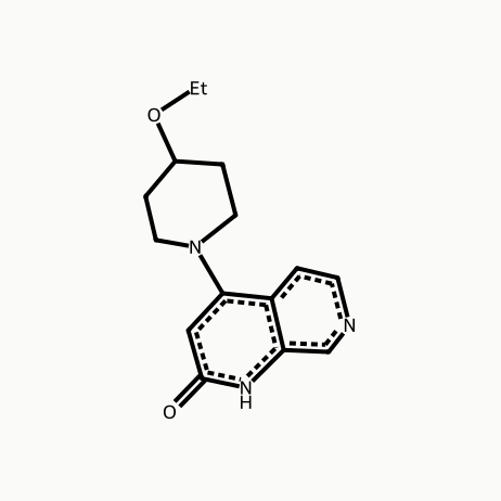 CCOC1CCN(c2cc(=O)[nH]c3cnccc23)CC1